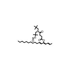 CC=CC=C(C=CCCCCCCCCCC)OC(=O)CCC(=O)N(CC(C)(C)C)CC(C)(C)SN=O